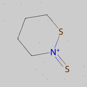 S=[N+]1CCCCS1